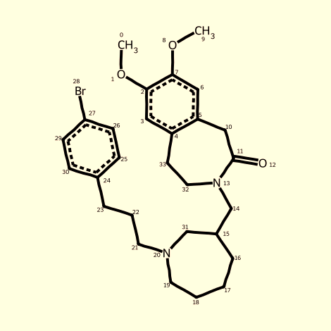 COc1cc2c(cc1OC)CC(=O)N(CC1CCCCN(CCCc3ccc(Br)cc3)C1)CC2